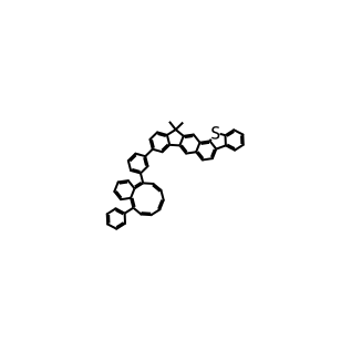 CC1(C)c2ccc(-c3cccc(-c4ccccccc(-c5ccccc5)c5ccccc45)c3)cc2-c2cc3ccc4c5ccccc5sc4c3cc21